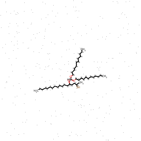 CCCCCCCCCCCCCC(CCC(C)S)O[SiH](OCCCCCCCCCCCC)OCCCCCCCCCCCC